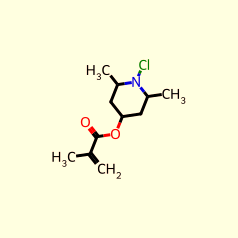 C=C(C)C(=O)OC1CC(C)N(Cl)C(C)C1